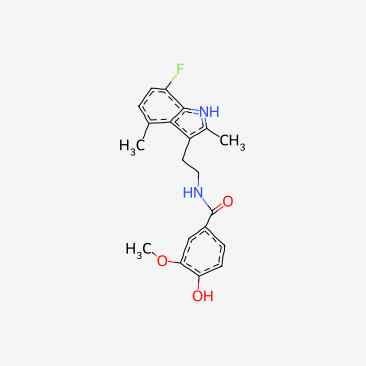 COc1cc(C(=O)NCCc2c(C)[nH]c3c(F)ccc(C)c23)ccc1O